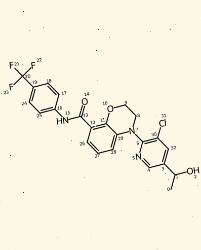 CC(O)c1cnc(N2CCOc3c(C(=O)Nc4ccc(C(F)(F)F)cc4)cccc32)c(Cl)c1